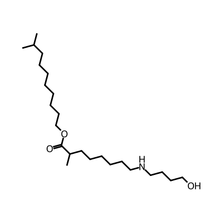 CC(C)CCCCCCCCOC(=O)C(C)CCCCCCNCCCCO